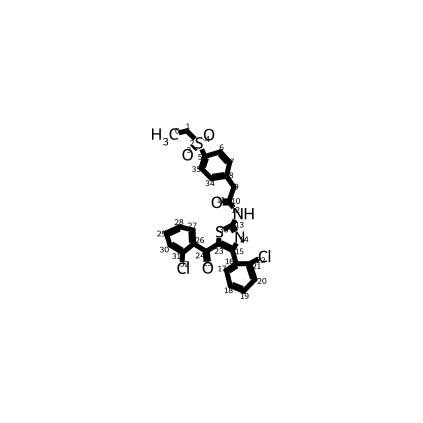 CCS(=O)(=O)c1ccc(CC(=O)Nc2nc(-c3ccccc3Cl)c(C(=O)c3ccccc3Cl)s2)cc1